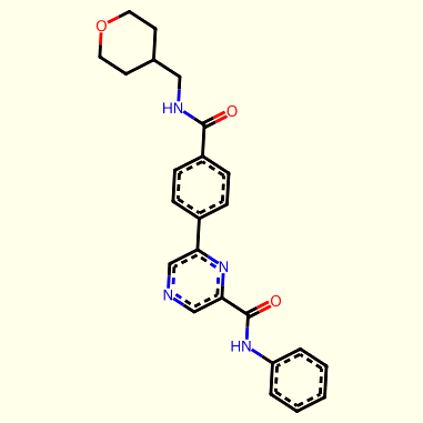 O=C(NCC1CCOCC1)c1ccc(-c2cncc(C(=O)Nc3ccccc3)n2)cc1